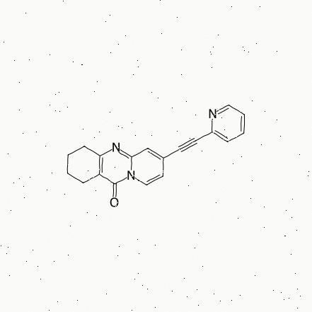 O=c1c2c(nc3cc(C#Cc4ccccn4)ccn13)CCCC2